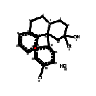 CCC1(O)CCN2CCc3ccccc3C2(c2ccc(Cl)cc2)C1.Cl